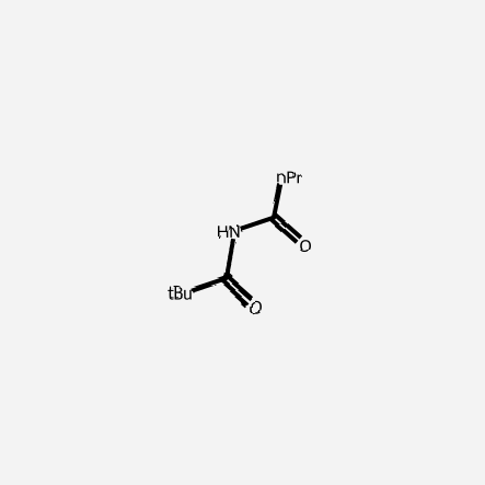 CCCC(=O)NC(=O)C(C)(C)C